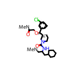 CNCC(CC1CCCCC1)NC(=O)N1CCC[C@@H]([C@@H](OCC(=O)NC)c2cccc(Cl)c2)C1